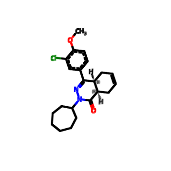 COc1ccc(C2=NN(C3CCCCCC3)C(=O)[C@@H]3CC=CC[C@H]23)cc1Cl